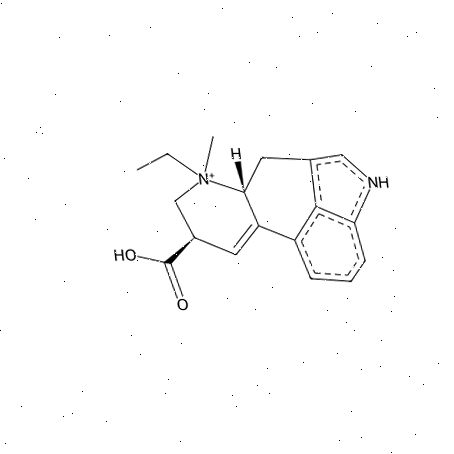 CC[N+]1(C)C[C@H](C(=O)O)C=C2c3cccc4[nH]cc(c34)C[C@H]21